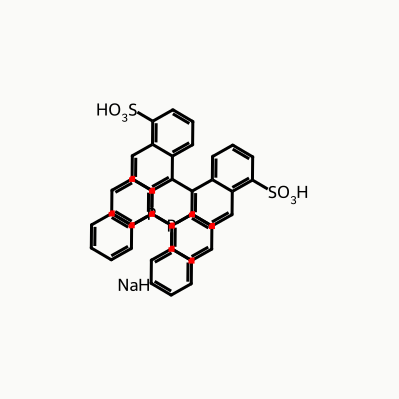 O=S(=O)(O)c1cccc2c(-c3c(P(c4ccccc4)c4ccccc4)ccc4c(S(=O)(=O)O)cccc34)c(P(c3ccccc3)c3ccccc3)ccc12.[NaH]